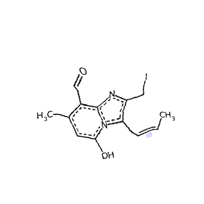 C/C=C\c1c(CI)nc2c(C=O)c(C)cc(O)n12